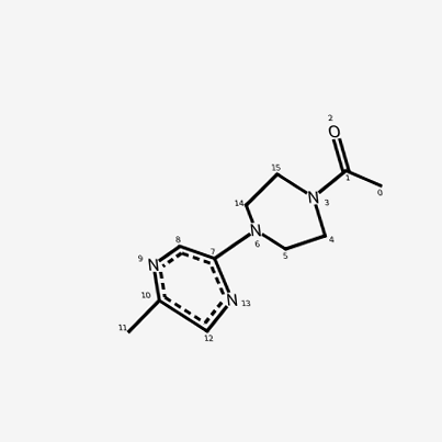 CC(=O)N1CCN(c2cnc(C)cn2)CC1